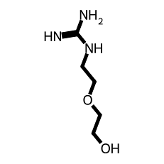 N=C(N)NCCOCCO